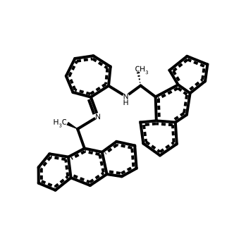 C[C@@H](N=c1cccccc1N[C@H](C)c1c2ccccc2cc2ccccc12)c1c2ccccc2cc2ccccc12